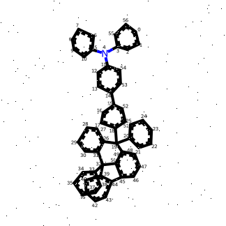 c1ccc(N(c2ccccc2)c2ccc(-c3ccc(C4(c5ccccc5)c5ccccc5C5(c6ccccc6)c6ccccc6-c6cccc4c65)cc3)cc2)cc1